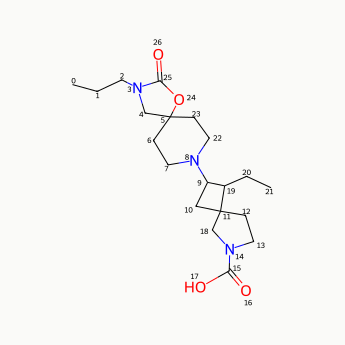 CCCN1CC2(CCN(C3CC4(CCN(C(=O)O)C4)C3CC)CC2)OC1=O